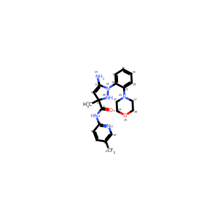 CC1(C(=O)Nc2ccc(C(F)(F)F)cn2)C=C(N)N(c2ccccc2N2CCOCC2)N1